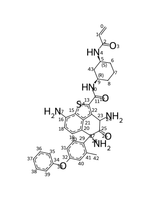 C=CC(=O)N[C@H]1CCC[C@@H](NC(=O)c2sc3c(N)ccc4c3c2C(N)C(=O)C4(N)c2ccc(Oc3ccccc3)cc2C)C1